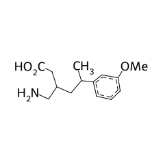 COc1cccc(C(C)CC(CN)CC(=O)O)c1